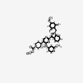 CCOc1cc(F)c(Cn2nc(-c3ncc(C4CCN(C(=O)OC(C)(C)C)CC4)c(Nc4ccnc(C)c4)n3)c3ccccc32)c(F)c1